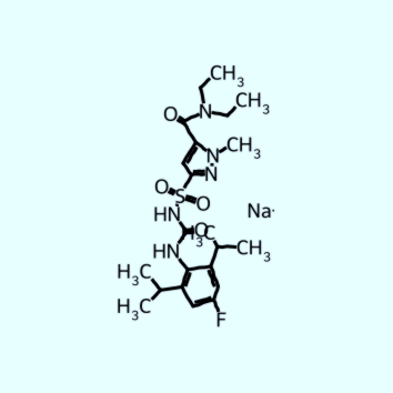 CCN(CC)C(=O)c1cc(S(=O)(=O)NC(=O)Nc2c(C(C)C)cc(F)cc2C(C)C)nn1C.[Na]